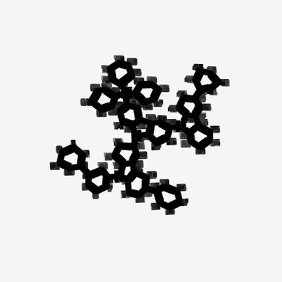 c1ccc(-c2cccc(-n3c4ccc(-c5ccccc5)cc4c4cc(-n5c6ccc(-n7c8ccccc8c8cc(-c9ccccc9)ccc87)cc6c6cc([Si](c7ccccc7)(c7ccccc7)c7ccccc7)ccc65)ccc43)c2)cc1